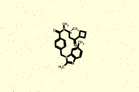 Cc1ccc2nc(C)n(Cc3ccc(C(=O)N(C)[C@H](C)CC(=N)C4CCC4)cc3)c2c1